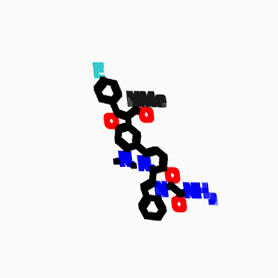 CNC(=O)c1c(-c2ccc(F)cc2)oc2cc(N(C)C)c(-c3ccc4c(n3)-c3cc5ccccc5n3C(C(N)=O)O4)cc12